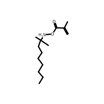 C=C(C)C(=O)O[SiH2]C(C)(C)CCCCCCC